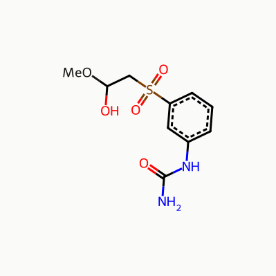 COC(O)CS(=O)(=O)c1cccc(NC(N)=O)c1